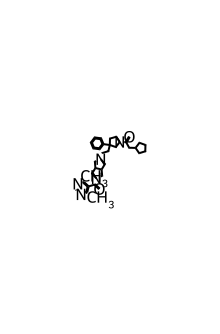 Cc1ncnc(C)c1C(=O)N1CC2CN(CCC3(c4ccccc4)CCN(C(=O)CC4CCCC4)C3)CC2C1